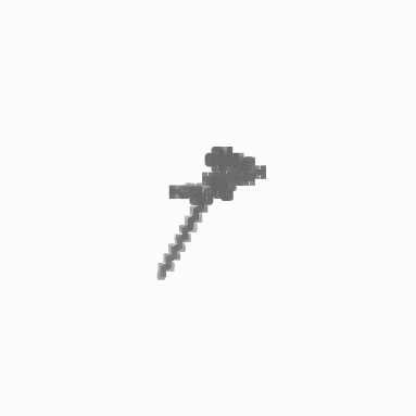 CCCCCCCCCCCCCCCC(=O)O[C@H](COCO)COP(=O)(O)OC1C(O)[C@H](OP(=O)(O)O)[C@H](O)C(OP(=O)(O)O)[C@@H]1O